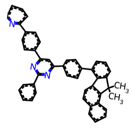 CC1(C)c2cccc(-c3ccc(-c4cc(-c5ccc(-c6ccccn6)cc5)nc(-c5ccccc5)n4)cc3)c2-c2ccc3ccccc3c21